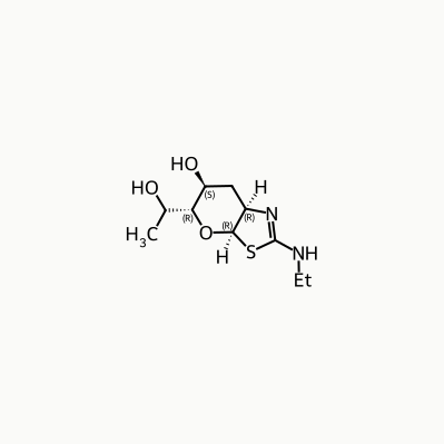 CCNC1=N[C@@H]2C[C@H](O)[C@@H](C(C)O)O[C@@H]2S1